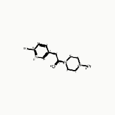 CC(C)N1CCN(C(=O)Cc2ccc(I)nc2)CC1